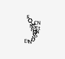 CCc1nc2sc(N3CCC(N(C)CC)C3)cn2c1N(C)c1nc(-c2ccc(F)cc2)c(C#N)s1